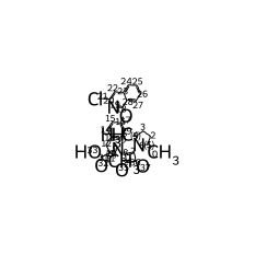 C[C@H]1CC[C@H](C)N1c1c(N[C@@](C)(Cc2ccc(Oc3nc(Cl)cc4ccccc34)cc2)C(=O)O)c(=O)c1=O